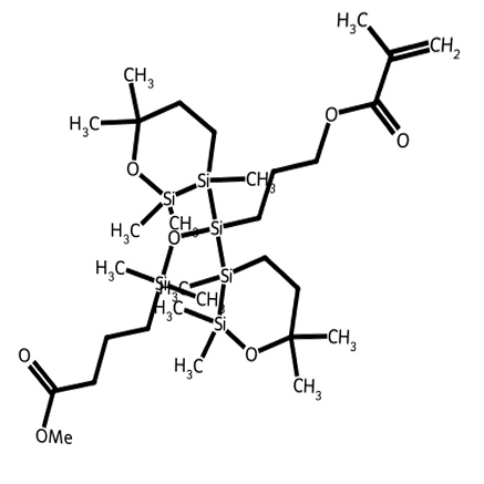 C=C(C)C(=O)OCCC[Si](O[Si](C)(C)CCCC(=O)OC)([Si]1(C)CCC(C)(C)O[Si]1(C)C)[Si]1(C)CCC(C)(C)O[Si]1(C)C